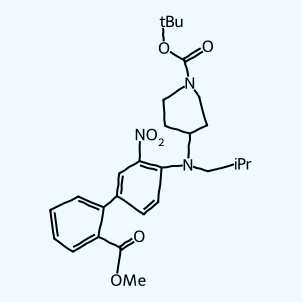 COC(=O)c1ccccc1-c1ccc(N(CC(C)C)C2CCN(C(=O)OC(C)(C)C)CC2)c([N+](=O)[O-])c1